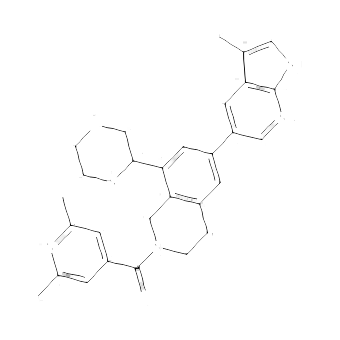 Cc1cc(C(=O)N2CCc3cc(-c4cnc5[nH]cc(C)c5c4)cc(C4COCCN4)c3C2)cc(C)n1